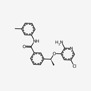 Cc1cccc(NC(=O)c2cccc([C@H](C)Oc3cc(Cl)cnc3N)c2)c1